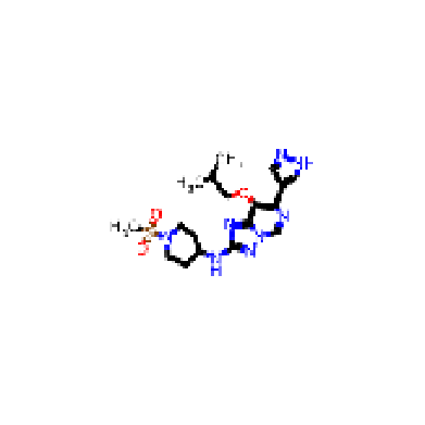 CC(C)COc1c(-c2cn[nH]c2)ncn2nc(NC3CCN(S(C)(=O)=O)CC3)nc12